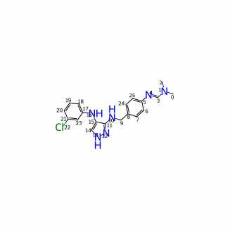 CN(C)C=Nc1ccc(CNc2n[nH]cc2Nc2cccc(Cl)c2)cc1